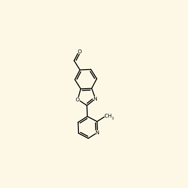 Cc1ncccc1-c1nc2ccc(C=O)cc2o1